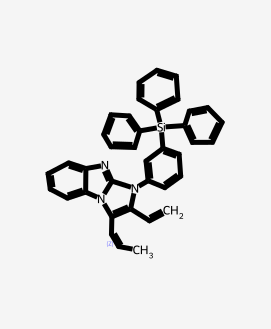 C=Cc1c(/C=C\C)n2c3ccccc3nc2n1-c1cccc([Si](c2ccccc2)(c2ccccc2)c2ccccc2)c1